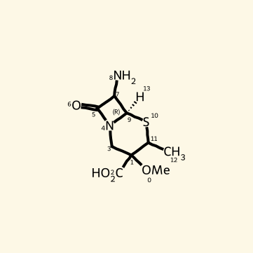 COC1(C(=O)O)CN2C(=O)C(N)[C@H]2SC1C